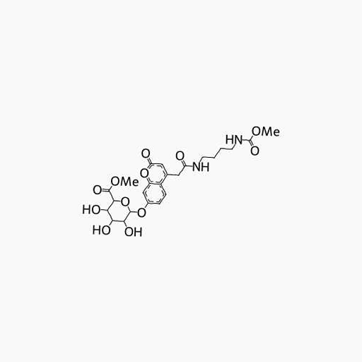 COC(=O)NCCCCNC(=O)Cc1cc(=O)oc2cc(OC3OC(C(=O)OC)C(O)C(O)C3O)ccc12